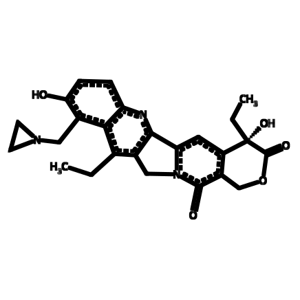 CCc1c2c(nc3ccc(O)c(CN4CC4)c13)-c1cc3c(c(=O)n1C2)COC(=O)[C@]3(O)CC